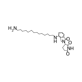 NCCCCCCCCCCCCCCNc1cccc2c1CN(C1CCC(=O)NC1=O)C2=O